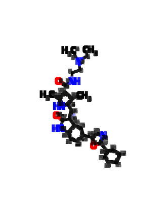 CCN(CC)CCNC(=O)c1c(C)[nH]c(/C=C2\C(=O)Nc3ccc(-c4cnc(-c5ccccc5)o4)cc32)c1C